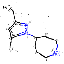 Cc1cc(C(F)(F)F)n(C2CCNCC2)n1